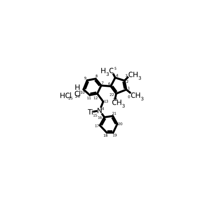 CC1=C(C)C(C)C(c2ccccc2C[N]([Ti])c2ccccc2)=C1C.Cl.Cl